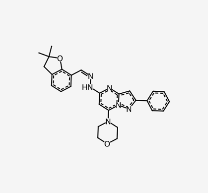 CC1(C)Cc2cccc(/C=N\Nc3cc(N4CCOCC4)n4nc(-c5ccccc5)cc4n3)c2O1